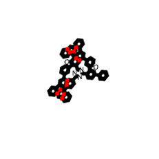 c1ccc(-c2ccc(-c3nc(-c4ccc(-c5ccccc5)c5oc6ccc(-c7ccc8c(c7)c7ccccc7n8-c7ccccc7)cc6c45)nc(-c4ccc(-c5ccccc5)c5oc6ccc(-c7ccc8c(c7)c7ccccc7n8-c7ccccc7)cc6c45)n3)cc2)cc1